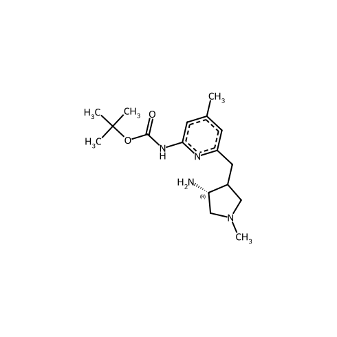 Cc1cc(CC2CN(C)C[C@@H]2N)nc(NC(=O)OC(C)(C)C)c1